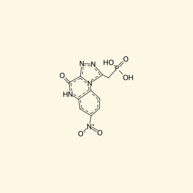 O=c1[nH]c2cc([N+](=O)[O-])ccc2n2c(CP(=O)(O)O)nnc12